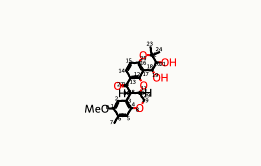 COc1cc2c(cc1C)OC[C@H]1Oc3c(ccc4c3C(O)C(O)C(C)(C)O4)C(=O)[C@@H]21